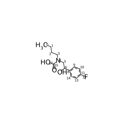 CCCCN(CC(O)c1ccc(F)cc1)C(=O)O